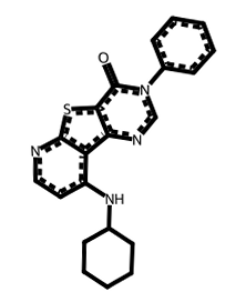 O=c1c2sc3nccc(NC4CCCCC4)c3c2ncn1-c1ccccc1